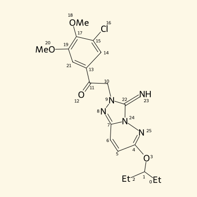 CCC(CC)Oc1ccc2nn(CC(=O)c3cc(Cl)c(OC)c(OC)c3)c(=N)n2n1